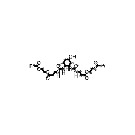 CC(C)C(=O)OCCOC(=O)CCNC(=O)NC1CCC(O)CC1NC(=O)NCCC(=O)OCCOC(=O)C(C)C